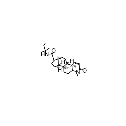 CCC(C)(C)NC(=O)C1CC[C@H]2[C@@H]3CCC4N(C)C(=O)C=C[C@]4(C)[C@@H]3CC[C@]12C